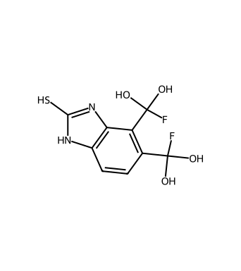 OC(O)(F)c1ccc2[nH]c(S)nc2c1C(O)(O)F